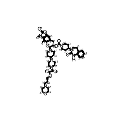 Cc1cc(C[C@@H](OC(=O)N2CCC(N3CCc4ccccc4NC3=O)CC2)C(=O)N2CCC(N3CCN(C(=O)C(=O)OCCCN4CCOCC4)CC3)CC2)cc2oc(=O)n(C)c12